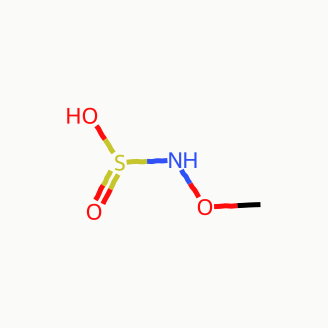 CONS(=O)O